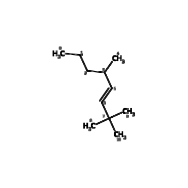 C[CH]CC(C)/C=C/C(C)(C)C